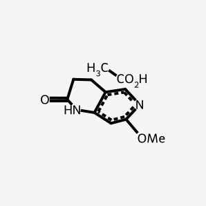 CC(=O)O.COc1cc2c(cn1)CCC(=O)N2